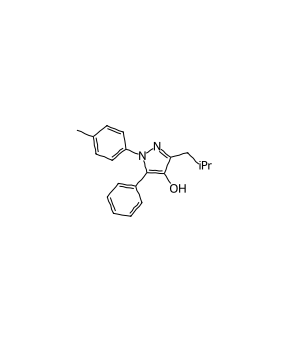 Cc1ccc(-n2nc(CC(C)C)c(O)c2-c2ccccc2)cc1